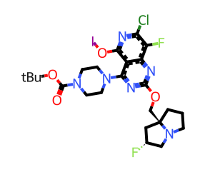 CC(C)(C)OC(=O)N1CCN(c2nc(OC[C@@]34CCCN3C[C@H](F)C4)nc3c(F)c(Cl)nc(OI)c23)CC1